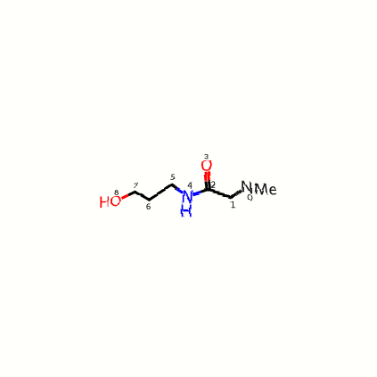 CNCC(=O)NCCCO